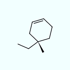 CC[C@]1(C)CC=CCC1